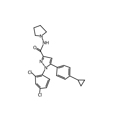 O=C(NN1CCCC1)c1cc(-c2ccc(C3CC3)cc2)n(-c2ccc(Cl)cc2Cl)n1